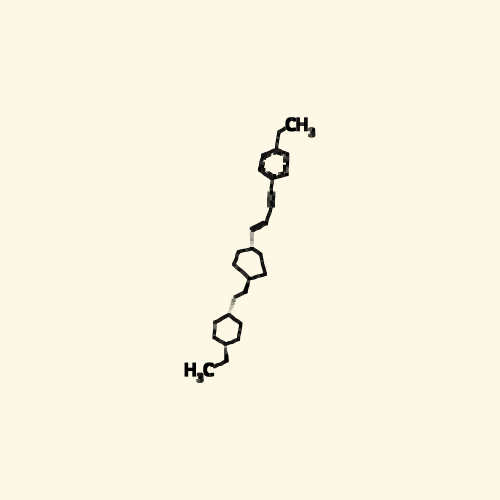 CCc1ccc(C#CC=C[C@H]2CC[C@H](CC[C@H]3CC[C@H](CC)CC3)CC2)cc1